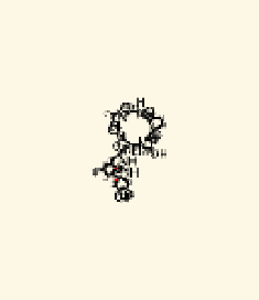 C[C@@H]1C[C@H]2C(=O)O[C@@H](C)[C@H](NC(=O)[C@H](Cc3cc(F)cc(F)c3)NC(=O)Nc3ccc4c(c3)OCO4)C(=O)N3C[C@H](O)C[C@H]3C(=O)N3CCCC[C@H]3C(=O)N[C@@H](C)C(=O)N2C1